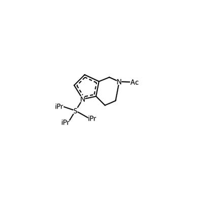 CC(=O)N1CCc2c(ccn2S(C(C)C)(C(C)C)C(C)C)C1